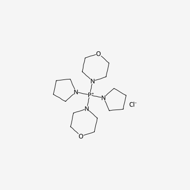 C1CCN([P+](N2CCCC2)(N2CCOCC2)N2CCOCC2)C1.[Cl-]